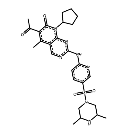 CC(=O)c1c(C)c2cnc(Nc3ccc(S(=O)(=O)N4CC(C)NC(C)C4)cn3)nc2n(C2CCCC2)c1=O